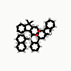 CC1(C)c2ccccc2-c2c(N(c3ccccc3-c3ccc4c(c3)oc3ccccc34)c3cccc4ccccc34)cccc21